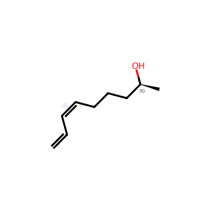 C=C/C=C\CCC[C@H](C)O